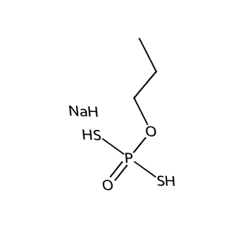 CCCOP(=O)(S)S.[NaH]